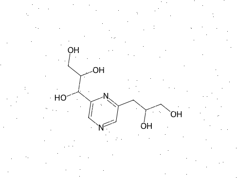 OCC(O)Cc1cncc(C(O)C(O)CO)n1